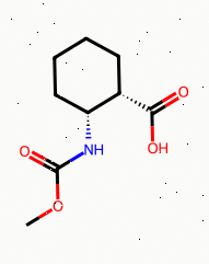 COC(=O)N[C@@H]1CCCC[C@@H]1C(=O)O